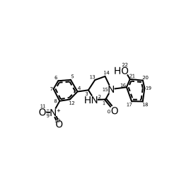 O=C1NC(c2cccc([N+](=O)[O-])c2)CCN1c1ccccc1O